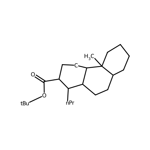 CCCC1C(C(=O)OC(C)(C)C)CCC2C1CCC1CCCCC12C